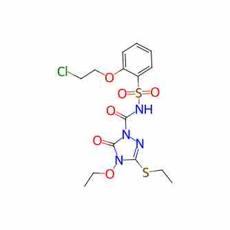 CCOn1c(SCC)nn(C(=O)NS(=O)(=O)c2ccccc2OCCCl)c1=O